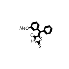 COc1cccc(C(=C2SC(=S)NC2=O)c2ccccc2)c1